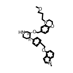 COCCCN1CCOc2ccc(CO[C@H]3CNCC[C@@H]3c3ccc(COc4cccc5c4ccn5C)cc3)cc21